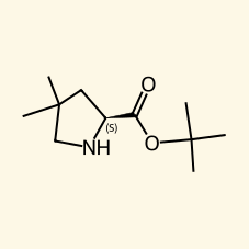 CC1(C)CN[C@H](C(=O)OC(C)(C)C)C1